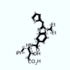 CCC(CC)n1c(Cc2cccs2)nc2cc(C(=O)N[C@@H](CC(C)C)[C@@H](O)CC(=O)O)ccc21